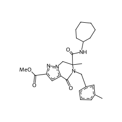 COC(=O)c1cc2n(n1)CC(C)(C(=O)NC1CCCCCC1)N(Cc1cccc(C)c1)C2=O